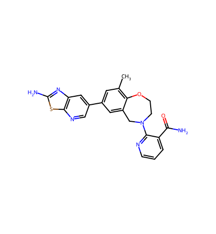 Cc1cc(-c2cnc3sc(N)nc3c2)cc2c1OCCN(c1ncccc1C(N)=O)C2